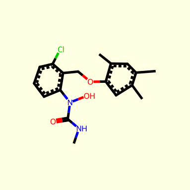 CNC(=O)N(O)c1cccc(Cl)c1COc1cc(C)c(C)cc1C